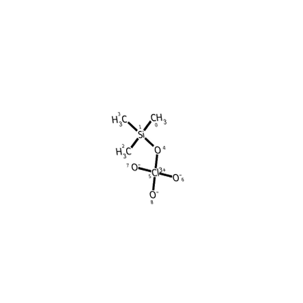 C[Si](C)(C)O[Cl+3]([O-])([O-])[O-]